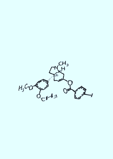 COc1ccc([C@@]23CC=C(OC(=O)c4ccc(I)cc4)C[C@@H]2N(C)CC3)cc1OC